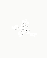 O=C(O)c1ccc(-c2c(C3CCOCC3)n(-c3ccc(F)cc3)c3cc4cn[nH]c4c(F)c23)cc1